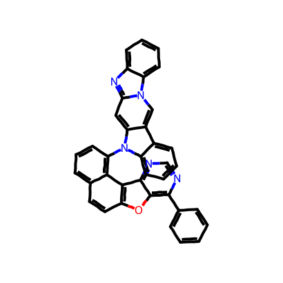 c1ccc(-c2ncnc3c2oc2ccc4cccc(-n5c6ccccc6c6cn7c(cc65)nc5ccccc57)c4c23)cc1